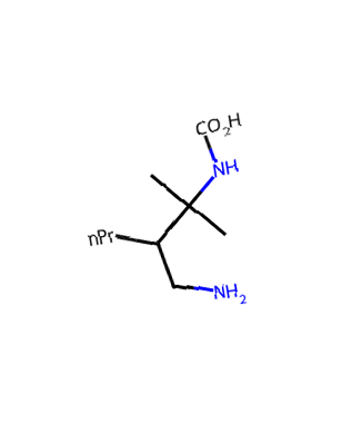 CCCC(CN)C(C)(C)NC(=O)O